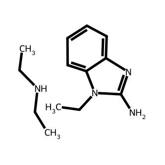 CCNCC.CCn1c(N)nc2ccccc21